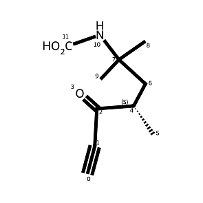 C#CC(=O)[C@@H](C)CC(C)(C)NC(=O)O